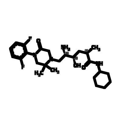 C[C@H](C[C@H](O)[C@@H](N)CN1CC(=O)N(c2c(F)cccc2F)CC1(C)C)C(=O)NC1CCCCC1